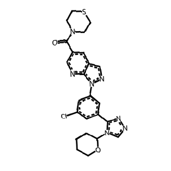 O=C(c1cnc2c(cnn2-c2cc(Cl)cc(-c3nncn3C3CCCCO3)c2)c1)N1CCSCC1